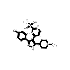 CN1CCC(c2[nH]nc(-c3ccc(Cl)cc3)c2-c2ccnc(S(C)(=O)=O)n2)CC1